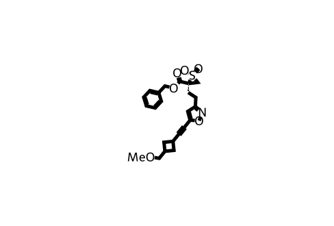 COCC1CC(C#Cc2cc(CC[C@@]3(C(=O)OCc4ccccc4)CS3(=O)=O)no2)C1